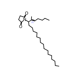 CCCC/C=C(\C)C(CCCCCCCCCCCCCCCC)N1C(=O)CCC1=O